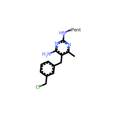 CCCC(C)Nc1nc(C)c(Cc2cccc(CCl)c2)c(N)n1